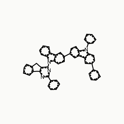 c1ccc(-c2ccc3c(c2)c2cc(-c4ccc5c(c4)c4ccccc4n5-c4nc(-c5ccccc5)nc5c4Cc4ccccc4-5)ccc2n3-c2ccccc2)cc1